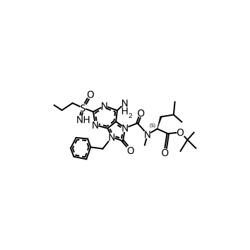 CCCS(=N)(=O)c1nc(N)c2c(n1)n(Cc1ccccc1)c(=O)n2C(=O)N(C)[C@@H](CC(C)C)C(=O)OC(C)(C)C